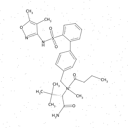 CCCC(=O)[N+](C)(Cc1ccc(-c2ccccc2S(=O)(=O)Nc2noc(C)c2C)cc1)[C@H](C(N)=O)C(C)(C)C